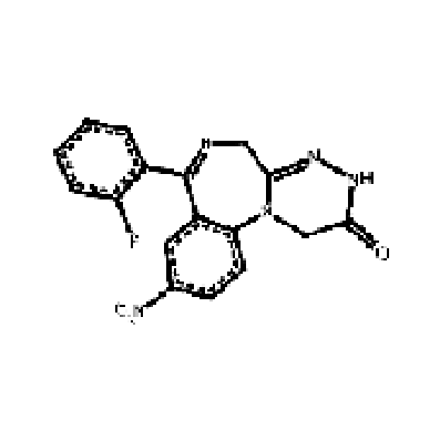 O=C1CN2C(=NN1)CN=C(c1ccccc1F)c1cc([N+](=O)[O-])ccc12